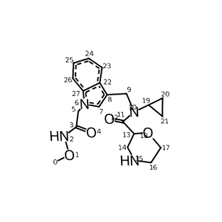 CONC(=O)Cn1cc(CN(C(=O)C2CNCCO2)C2CC2)c2ccccc21